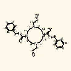 O=PCN1CCN(C(=O)OCc2ccccc2)CCN(CP=O)CCN(C(=O)OCc2ccccc2)CC1